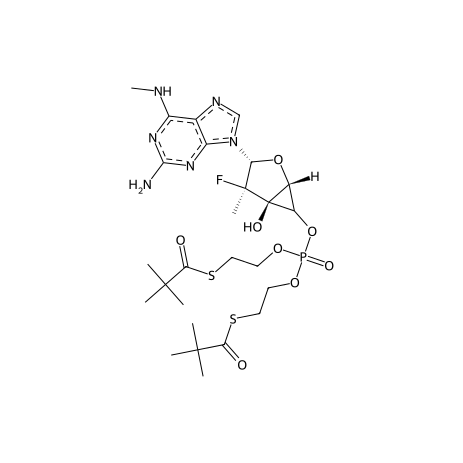 CNc1nc(N)nc2c1ncn2[C@@H]1O[C@@H]2C(OP(=O)(OCCSC(=O)C(C)(C)C)OCCSC(=O)C(C)(C)C)[C@]2(O)[C@@]1(C)F